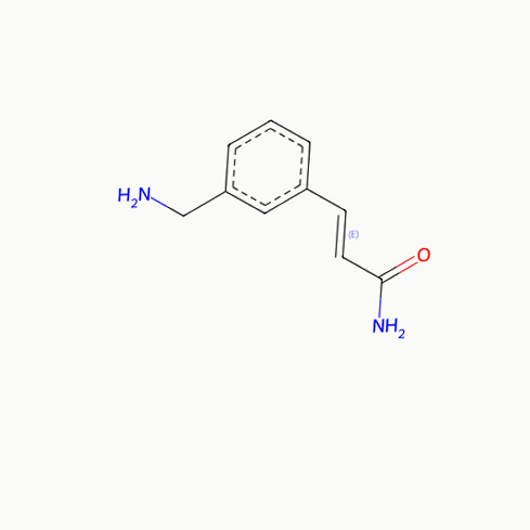 NCc1cccc(/C=C/C(N)=O)c1